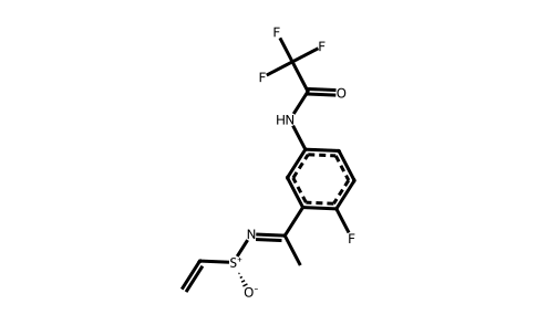 C=C[S@@+]([O-])/N=C(\C)c1cc(NC(=O)C(F)(F)F)ccc1F